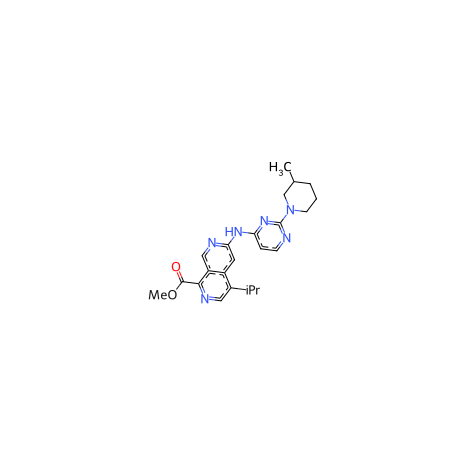 COC(=O)c1ncc(C(C)C)c2cc(Nc3ccnc(N4CCCC(C)C4)n3)ncc12